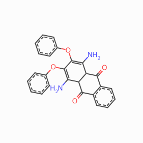 NC1=C(Oc2ccccc2)C(Oc2ccccc2)=C(N)C2C(=O)c3ccccc3C(=O)C12